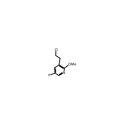 COc1ncc(F)cc1CCCl